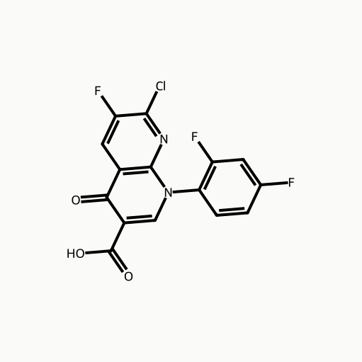 O=C(O)c1cn(-c2ccc(F)cc2F)c2nc(Cl)c(F)cc2c1=O